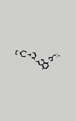 CC(C)c1ccc(N2CC(CS(C)(=O)=O)C2)c2cnc(Nc3ccnc(N4CCC5(OCCO5)[C@@H](F)C4)n3)cc12